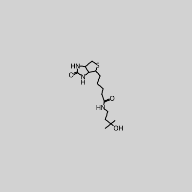 CC(C)(O)CCNC(=O)CCCCC1SCC2NC(=O)NC21